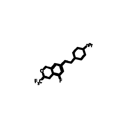 CCCC1CCC(CCc2cc(F)c3c(c2)COC(C(F)(F)F)C3)CC1